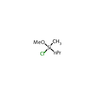 CCC[Si](C)(Cl)OC